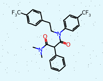 CN(C)C(=O)C(C(=O)N(CCc1ccc(C(F)(F)F)cc1)c1ccc(C(F)(F)F)cc1)c1ccccc1